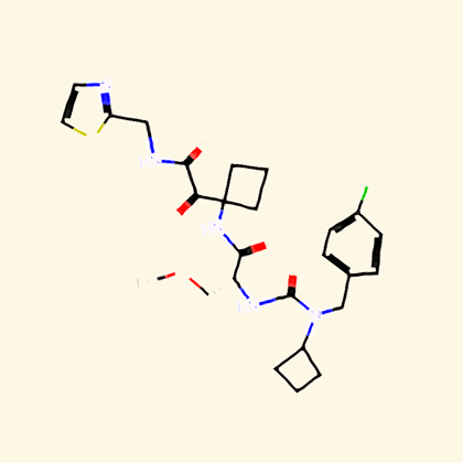 COC[C@@H](NC(=O)N(Cc1ccc(Cl)cc1)C1CCC1)C(=O)NC1(C(=O)C(=O)NCc2nccs2)CCC1